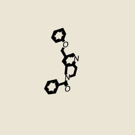 O=C(c1ccccc1)N1CCc2ncc(COc3ccccc3)cc2C1